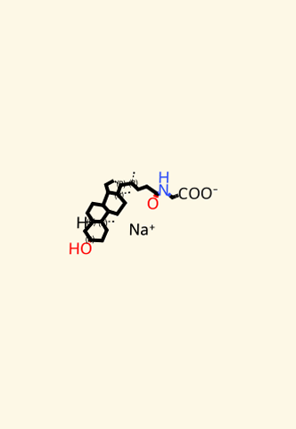 C[C@H](CCC(=O)NCC(=O)[O-])[C@H]1CCC2C3CC[C@@H]4C[C@H](O)CC[C@]4(C)C3CC[C@@]21C.[Na+]